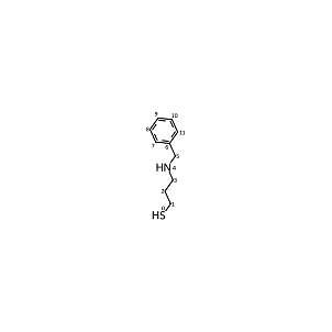 SCCCNCc1ccccc1